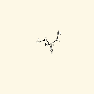 CCO[AsH](=O)OCC